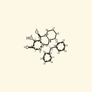 O=C1c2c(O)c(=O)cnn2[C@@H](C(c2ccccc2)c2ccccc2)N2CCCCN12